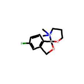 C[N+]1(C)CCCO[B-]12OCc1cc(F)ccc12